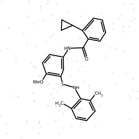 COc1ccc(NC(=O)c2ccccc2C2CC2)cc1SNc1c(C)cccc1C